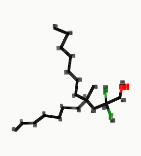 CCCCCCCC(C)(CCCCCCC)CC(F)(F)CO